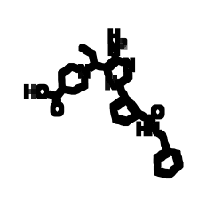 CCC(c1nc(-c2cccc(C(=O)NCc3ccccc3)c2)cnc1N)N1CCC(C(=O)O)CC1